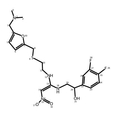 CN(C)Cc1ccc(CSCCN/C(=C/[N+](=O)[O-])NCC(O)c2ccc(F)c(F)c2)o1